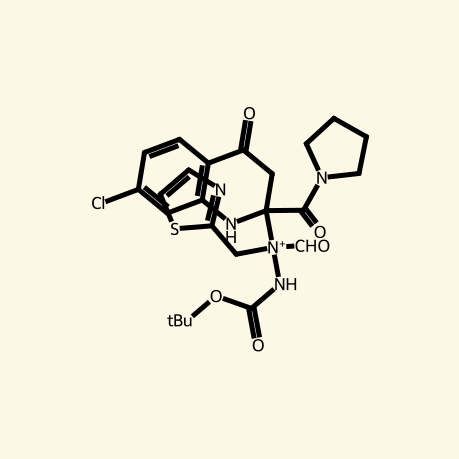 CC(C)(C)OC(=O)N[N+](C=O)(Cc1nccs1)C1(C(=O)N2CCCC2)CC(=O)c2ccc(Cl)cc2N1